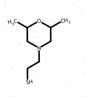 CC1CN(CCS)CC(C)O1